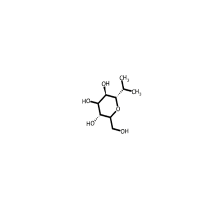 CC(C)[C@@H]1OC(CO)[C@H](O)C(O)[C@H]1O